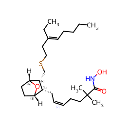 CCCCC=C(CC)CCSC[C@@H]1[C@H](C/C=C\CCC(C)(C)C(=O)NO)[C@@H]2CC[C@H]1O2